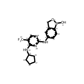 OB1OCc2cc(Nc3ncc(C(F)(F)F)c(NC4CCCC4)n3)ccc21